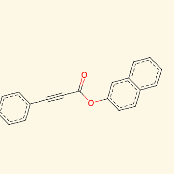 O=C(C#Cc1ccccc1)Oc1ccc2ccccc2c1